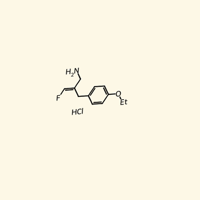 CCOc1ccc(C/C(=C\F)CN)cc1.Cl